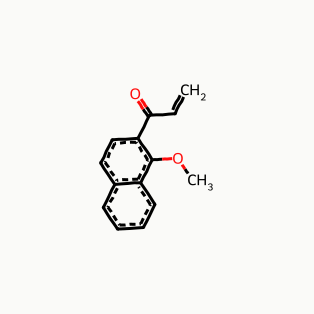 C=CC(=O)c1ccc2ccccc2c1OC